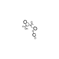 CC(=O)N(Cc1ccccc1Oc1ccc(Cl)cc1)C1Cc2ccccc2N(C(=O)O)C1